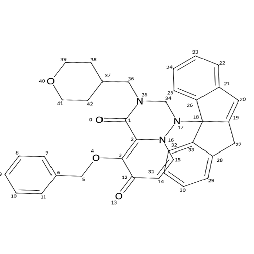 O=C1c2c(OCc3ccccc3)c(=O)ccn2N(C23C(=Cc4ccccc42)Cc2ccccc23)CN1CC1CCOCC1